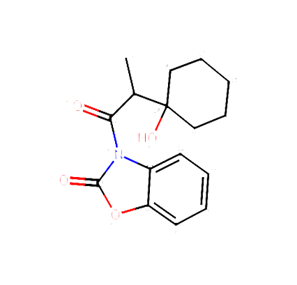 CC(C(=O)n1c(=O)oc2ccccc21)C1(O)CCCCC1